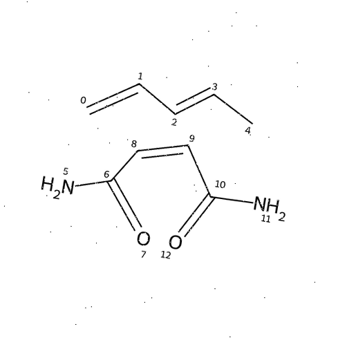 C=CC=CC.NC(=O)/C=C\C(N)=O